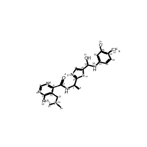 CC(NC(=O)c1ncnc(N)c1CN(C)C)c1ncc(C(O)Nc2ccc(C(F)(F)F)c(Cl)c2)s1